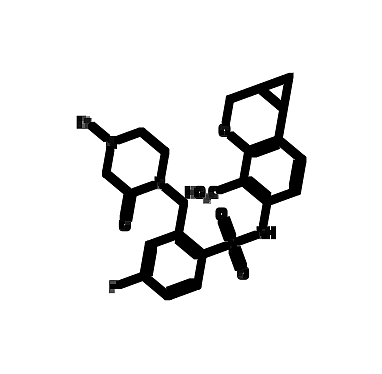 CCN1CCN(Cc2cc(F)ccc2S(=O)(=O)Nc2ccc3c(c2C(=O)O)OCC2CC32)C(=O)C1